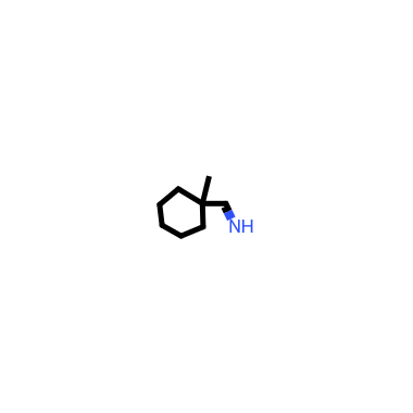 CC1(C=N)CCCCC1